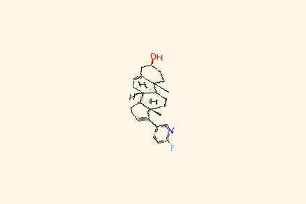 C[C@]12CC[C@H](O)CC1=CC[C@@H]1[C@@H]2CC[C@]2(C)C(c3ccc(F)nc3)=CC[C@@H]12